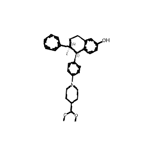 COC(OC)C1CCN(c2ccc([C@@H]3c4ccc(O)cc4CC[C@]3(C)c3ccccc3)cc2)CC1